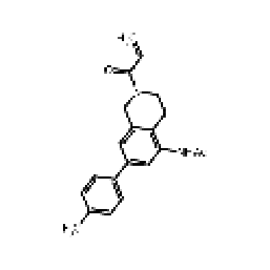 C=CC(=O)N1CCc2c(cc(-c3ccc(C(F)(F)F)cc3)cc2NC(C)=O)C1